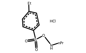 CCCNOS(=O)(=O)c1ccc(CC)cc1.Cl